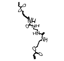 C=CC(=O)OCCNC(=C)NCCNC(=O)NCCOC(=O)C=C